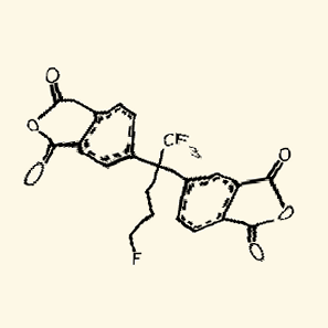 O=C1OC(=O)c2cc(C(CCCF)(c3ccc4c(c3)C(=O)OC4=O)C(F)(F)F)ccc21